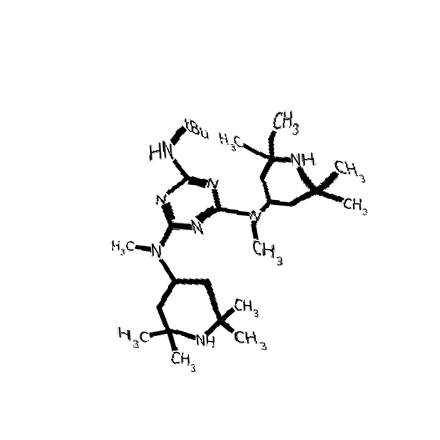 CN(c1nc(NC(C)(C)C)nc(N(C)C2CC(C)(C)NC(C)(C)C2)n1)C1CC(C)(C)NC(C)(C)C1